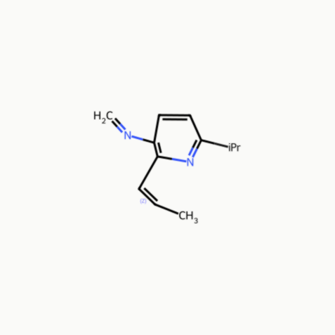 C=Nc1ccc(C(C)C)nc1/C=C\C